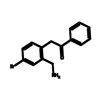 NCc1cc(Br)ccc1CC(=O)c1ccccc1